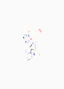 CC1CC2CC(C(=O)O)(C1)N2C(=O)Nc1cc(-c2ncc(F)cn2)c(C(F)(F)F)cn1